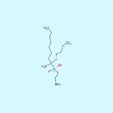 BCC[C@@](O)(I)C(C)(CCCCC)CCCCCCC